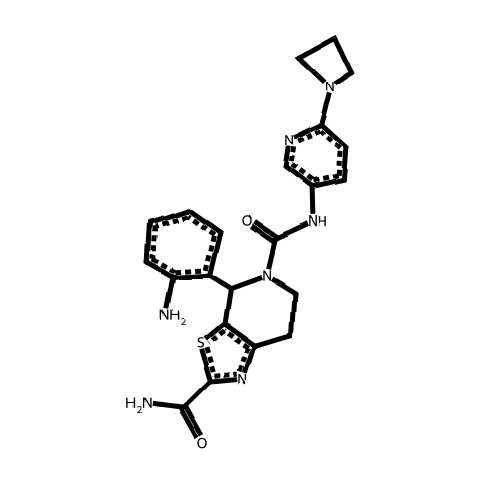 NC(=O)c1nc2c(s1)C(c1ccccc1N)N(C(=O)Nc1ccc(N3CCC3)nc1)CC2